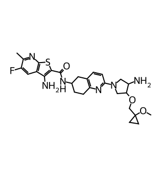 COC1(COC2CN(c3ccc4c(n3)CCC(NC(=O)c3sc5nc(C)c(F)cc5c3N)C4)CC2N)CC1